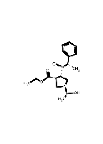 CCOC(=O)[C@@H]1CN(B(C)O)C[C@H]1N(Cl)[C@@H](C)c1ccccc1